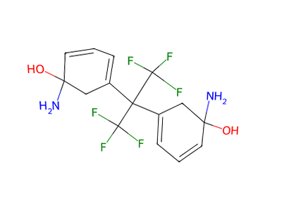 NC1(O)C=CC=C(C(C2=CC=CC(N)(O)C2)(C(F)(F)F)C(F)(F)F)C1